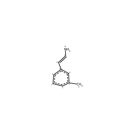 Cc1cccc(C=CN)c1